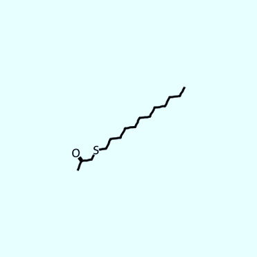 CCCCCCCCCCCCSCC(C)=O